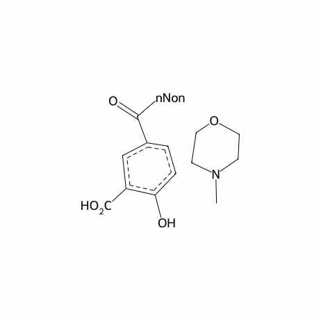 CCCCCCCCCC(=O)c1ccc(O)c(C(=O)O)c1.CN1CCOCC1